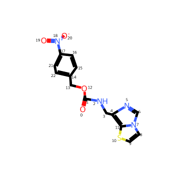 O=C(NCc1ncn2ccsc12)OCc1ccc([N+](=O)[O-])cc1